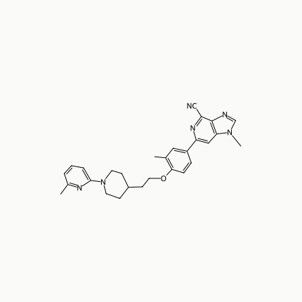 Cc1cccc(N2CCC(CCOc3ccc(-c4cc5c(ncn5C)c(C#N)n4)cc3C)CC2)n1